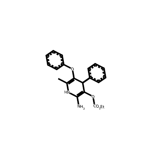 CCOC(=O)OC1=C(N)NC(C)=C(Oc2ccccc2)C1c1ccccc1